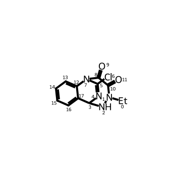 CCN1NC2N=C(Cl)N(C(=O)C1=O)c1ccccc12